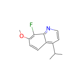 COc1ccc2c(C(C)C)ccnc2c1F